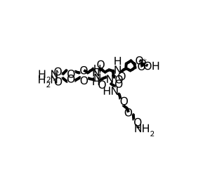 CP(=O)(O)OC1CCC(C(=O)NC(CCC(=O)NCCOCCOCCON)C(=O)N(CC(=O)NCCOCCOCCON)CC(=O)NCCOCCOCCON)CC1